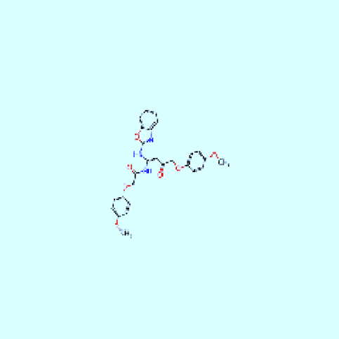 COc1ccc(OCC(=O)/C=C(\NC(=O)COc2ccc(OC)cc2)Nc2nc3ccccc3o2)cc1